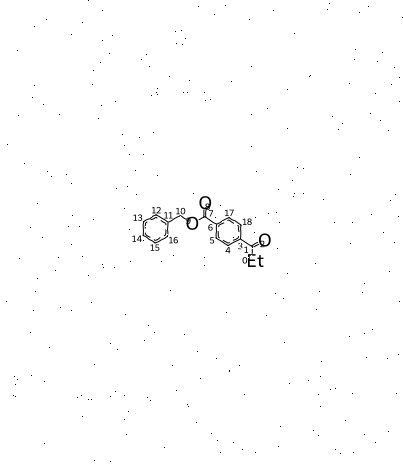 CCC(=O)c1ccc(C(=O)OCc2ccccc2)cc1